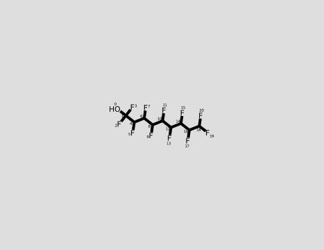 OC(F)(F)C(F)C(F)C(F)C(F)C(F)C(F)C(F)C(F)F